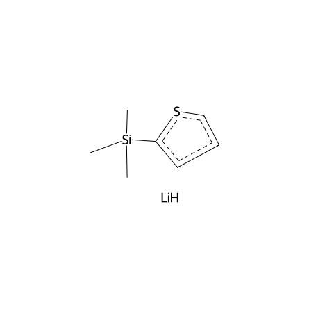 C[Si](C)(C)c1cccs1.[LiH]